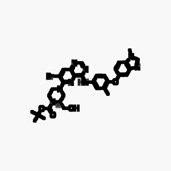 Cc1cc(Nc2ncnc3cc(Br)c(N4CCN(C(=O)OC(C)(C)C)[C@H](CO)C4)nc23)ccc1Oc1ccc2c(c1)ncn2C